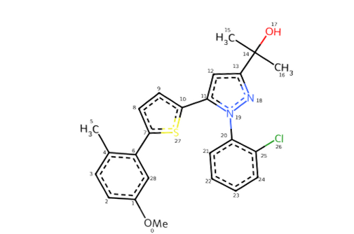 COc1ccc(C)c(-c2ccc(-c3cc(C(C)(C)O)nn3-c3ccccc3Cl)s2)c1